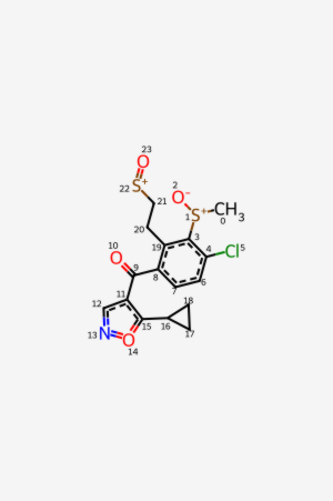 C[S+]([O-])c1c(Cl)ccc(C(=O)c2cnoc2C2CC2)c1CC[S+]=O